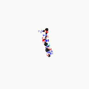 COC(=O)[C@H](CCC(=O)NCCOC1(OCCN)CCCC1)NC(=O)c1ccc(N(Cc2ccc3nc(NC(=O)C(C)C)[nH]c(=O)c3c2)C(=O)C(F)(F)F)cc1